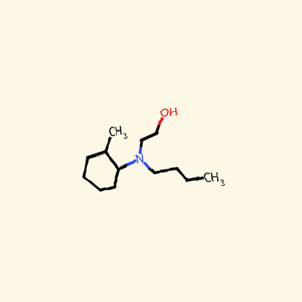 CCCCN(CCO)C1CCCCC1C